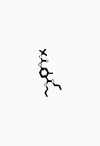 CCCOC(OCCC)c1ccc(OC(=O)OC(C)(C)C)cc1C